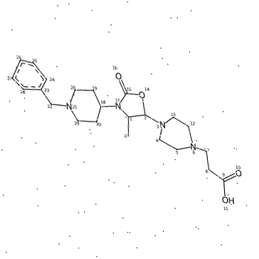 CC1C(N2CCN(CCC(=O)O)CC2)OC(=O)N1C1CCN(Cc2ccccc2)CC1